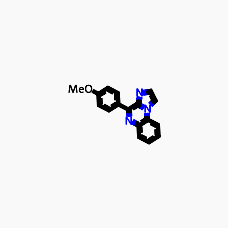 COc1ccc(-c2nc3ccccc3n3ccnc23)cc1